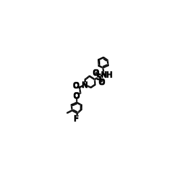 Cc1cc(OCC(=O)N2CCC(S(=O)(=O)Nc3ccccc3)CC2)ccc1F